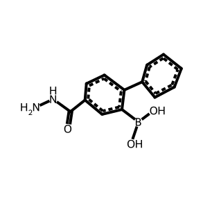 NNC(=O)c1ccc(-c2ccccc2)c(B(O)O)c1